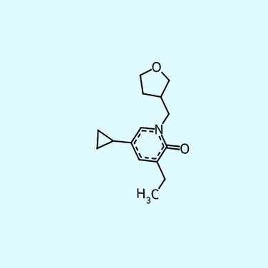 CCc1cc(C2CC2)cn(CC2CCOC2)c1=O